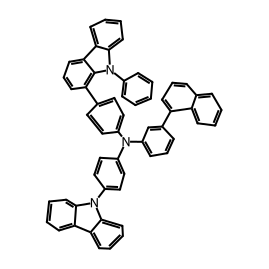 c1ccc(-n2c3ccccc3c3cccc(-c4ccc(N(c5ccc(-n6c7ccccc7c7ccccc76)cc5)c5cccc(-c6cccc7ccccc67)c5)cc4)c32)cc1